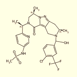 C[C@H](c1ccc(NS(C)(=O)=O)cn1)N1C[C@@H](C)n2nc3c(c2C1=O)CN(C(O)c1ccc(Cl)c(C(F)(F)F)c1)[C@H](C)C3